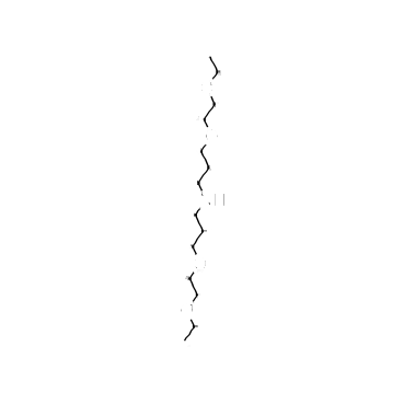 CCOCCOCCCNCCCOCCOCC